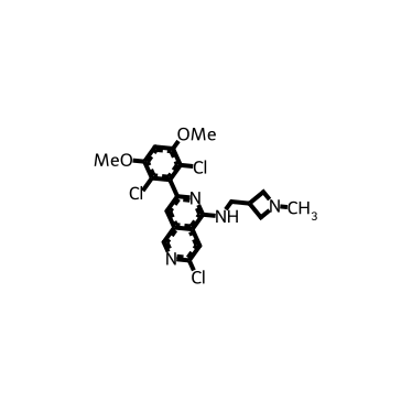 COc1cc(OC)c(Cl)c(-c2cc3cnc(Cl)cc3c(NCC3CN(C)C3)n2)c1Cl